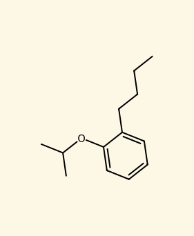 CCCCc1ccccc1OC(C)C